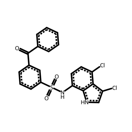 O=C(c1ccccc1)c1cccc(S(=O)(=O)Nc2ccc(Cl)c3c(Cl)c[nH]c23)c1